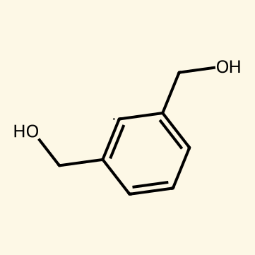 OCc1[c]c(CO)ccc1